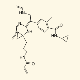 C=CNC/C(=C(\N=C/N=C)NC1(CCCNC(=O)C=C)CC1)c1ccc(C(=O)NC2CC2)c(C)c1